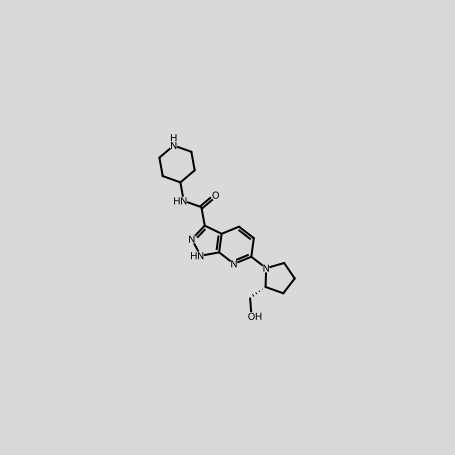 O=C(NC1CCNCC1)c1n[nH]c2nc(N3CCC[C@@H]3CO)ccc12